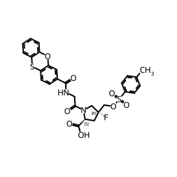 Cc1ccc(S(=O)(=O)OC[C@@]2(F)C[C@@H](C(=O)O)N(C(=O)CNC(=O)c3ccc4c(c3)Oc3ccccc3S4)C2)cc1